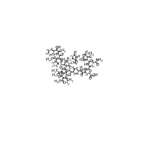 CC[C@H](C)[C@@H]([C@@H](CC(=O)N1CCC[C@H]1[C@H](OC)[C@@H](C)C(=O)N[C@H](C)[C@@H](O)c1ccccc1)OC)N(C)C(=O)[C@@H](NC(=O)[C@H](C(C)C)N(C)C(=O)OCc1ccc(NC(=O)[C@H](CCC(=O)O)NC(=O)[C@H](CCC(N)=O)NC(=O)[C@@H](NC(=O)CCN2C(=O)C=CC2=O)C(C)C)cc1)C(C)C